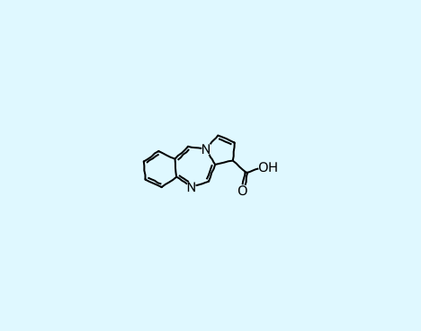 O=C(O)C1C=CN2C=c3ccccc3=NC=C12